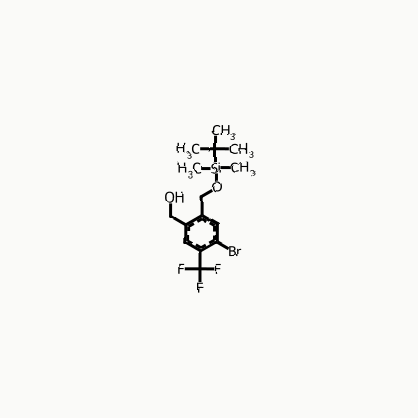 CC(C)(C)[Si](C)(C)OCc1cc(Br)c(C(F)(F)F)cc1CO